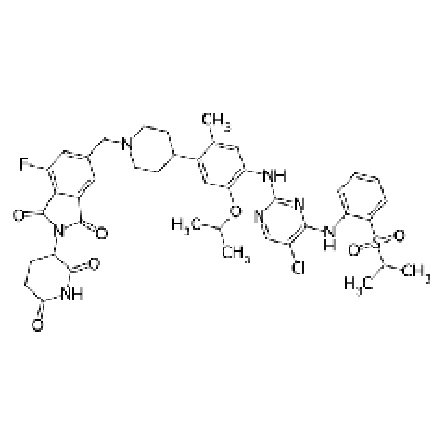 Cc1cc(Nc2ncc(Cl)c(Nc3ccccc3S(=O)(=O)C(C)C)n2)c(OC(C)C)cc1C1CCN(Cc2cc(F)c3c(c2)C(=O)N(C2CCC(=O)NC2=O)C3=O)CC1